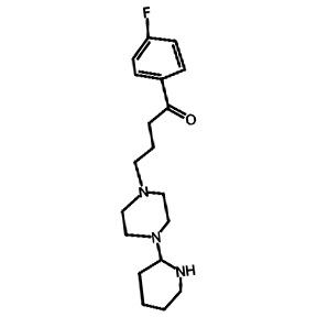 O=C(CCCN1CCN(C2CCCCN2)CC1)c1ccc(F)cc1